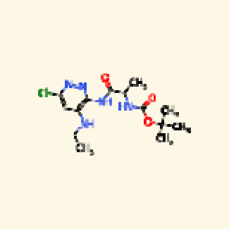 CCNc1cc(Cl)nnc1NC(=O)C(C)NC(=O)OC(C)(C)C